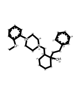 COc1ccccc1N1CCN(CC2CCCCC2(O)CCc2ccccc2)CC1